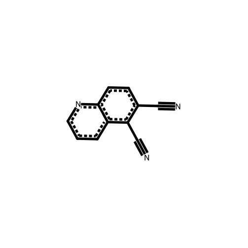 N#Cc1ccc2ncccc2c1C#N